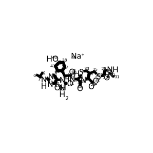 CC(C)Nc1ncc(N(C(N)=O)C(C(=O)NC2C(=O)N3C(C(=O)[O-])=C(CSC4=CNN(C)O4)CS[C@H]23)c2ccc(O)cc2)c(O)n1.[Na+]